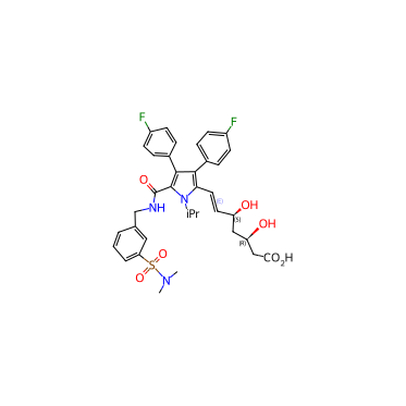 CC(C)n1c(/C=C/[C@@H](O)C[C@@H](O)CC(=O)O)c(-c2ccc(F)cc2)c(-c2ccc(F)cc2)c1C(=O)NCc1cccc(S(=O)(=O)N(C)C)c1